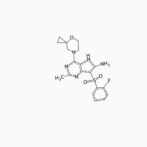 Cc1nc(N2CCOC3(CC3)C2)c2[nH]c(N)c(S(=O)(=O)c3ccccc3F)c2n1